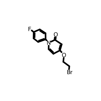 O=c1cc(OCCBr)ccn1-c1ccc(F)cc1